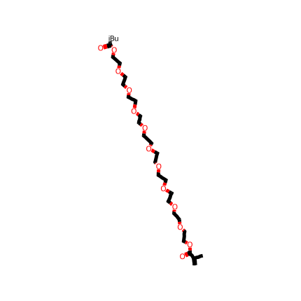 C=C(C)C(=O)OCCOCCOCCOCCOCCOCCOCCOCCOCCOCCOC(=O)C(C)CC